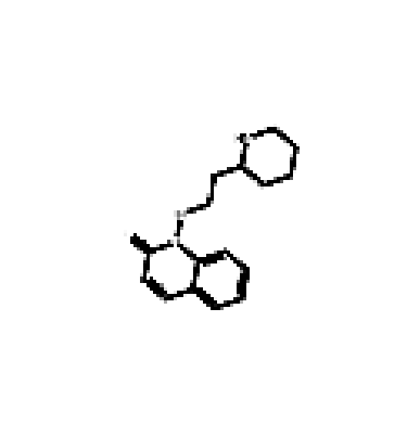 O=c1ccc2ccccc2n1NCCC1CCCCN1